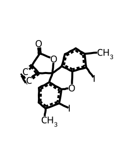 Cc1ccc2c(c1I)Oc1c(ccc(C)c1I)C21OC(=O)c2ccccc21